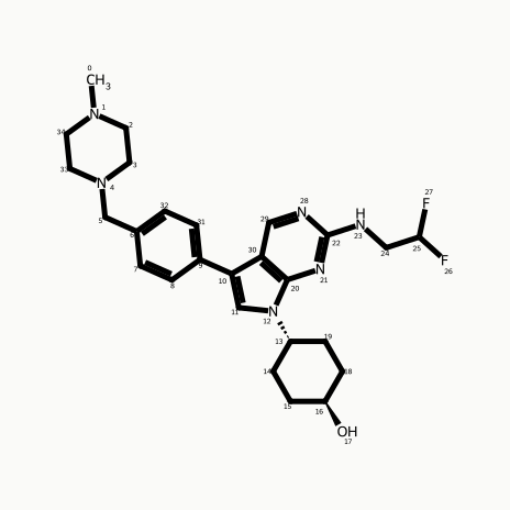 CN1CCN(Cc2ccc(-c3cn([C@H]4CC[C@H](O)CC4)c4nc(NCC(F)F)ncc34)cc2)CC1